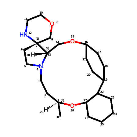 C[C@H]1CCN2CC[C@@]3(COCCN3)[C@@H]2COC2CCC(CC2)C2CCCCC2O1